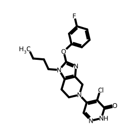 CCCCn1c(Oc2cccc(F)c2)nc2c1CCN(c1cn[nH]c(=O)c1Cl)C2